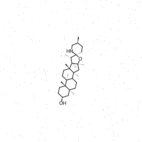 C[C@H]1CC[C@]2(NC1)O[C@@]1(C)C[C@@]3(C)C4CC[C@@]5(C)C[C@@H](O)CC[C@]5(C)[C@@]4(C)CC[C@]3(C)[C@@]1(C)[C@@H]2C